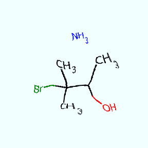 CC(O)C(C)(C)Br.N